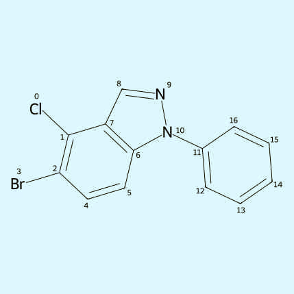 Clc1c(Br)ccc2c1cnn2-c1ccccc1